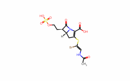 CC(=O)NC=C(Br)SC1=C(C(=O)O)N2C(=O)[C@H](CCOS(=O)(=O)O)[C@H]2C1